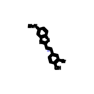 CNc1ccc2sc(/C=C/c3ccc(O)c(Br)c3)nc2c1